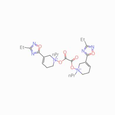 CCC[N+]1(OC(=O)C(=O)O[N+]2(CCC)CCC=C(c3nc(CC)no3)C2)CCC=C(c2nc(CC)no2)C1